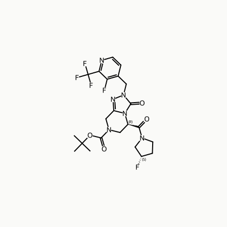 CC(C)(C)OC(=O)N1Cc2nn(Cc3ccnc(C(F)(F)F)c3F)c(=O)n2[C@@H](C(=O)N2CC[C@H](F)C2)C1